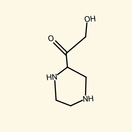 O=C(CO)C1CNCCN1